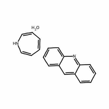 C1=CC=CNC=C1.O.c1ccc2nc3ccccc3cc2c1